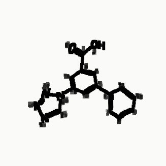 O=C(O)c1cc(-c2ccccc2)cc(-n2cnnn2)c1